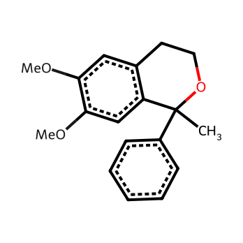 COc1cc2c(cc1OC)C(C)(c1ccccc1)OCC2